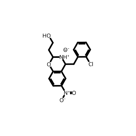 O=[N+]([O-])c1ccc2c(c1)C(Cc1ccccc1Cl)[NH+]([O-])C(CCO)O2